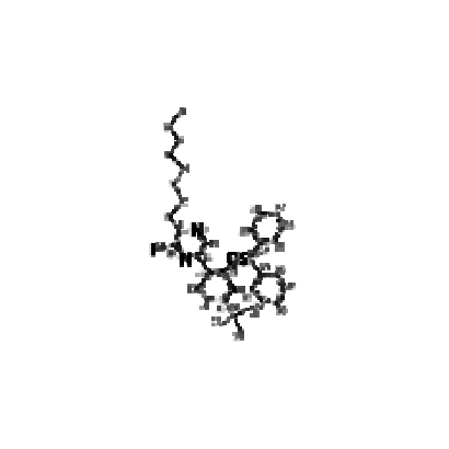 CCCCCCCCc1ncc(-c2ccc(C(C)(C)C)cc2O[SiH](c2ccccc2)c2ccccc2)nc1F